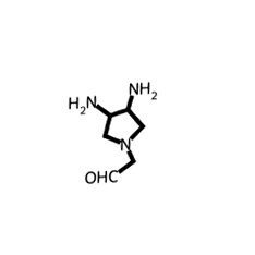 NC1CN(CC=O)CC1N